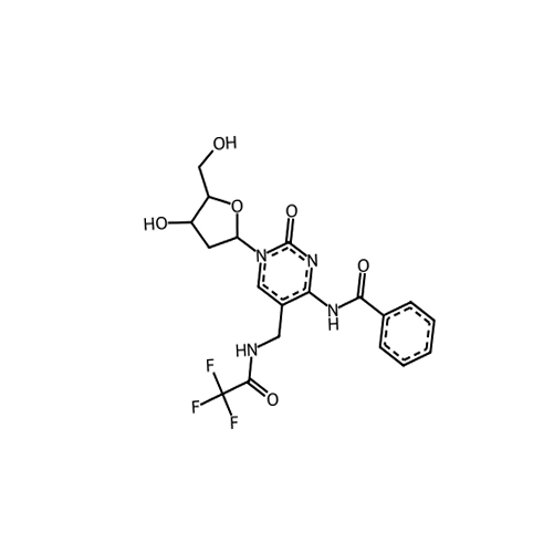 O=C(Nc1nc(=O)n(C2CC(O)C(CO)O2)cc1CNC(=O)C(F)(F)F)c1ccccc1